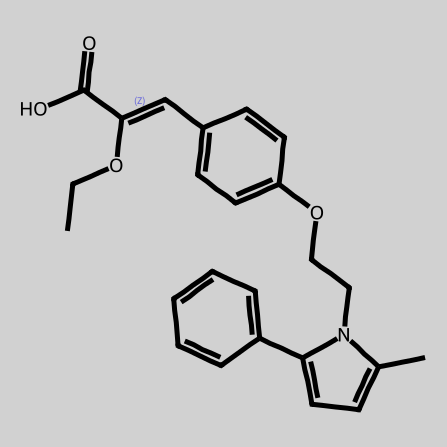 CCO/C(=C\c1ccc(OCCn2c(C)ccc2-c2ccccc2)cc1)C(=O)O